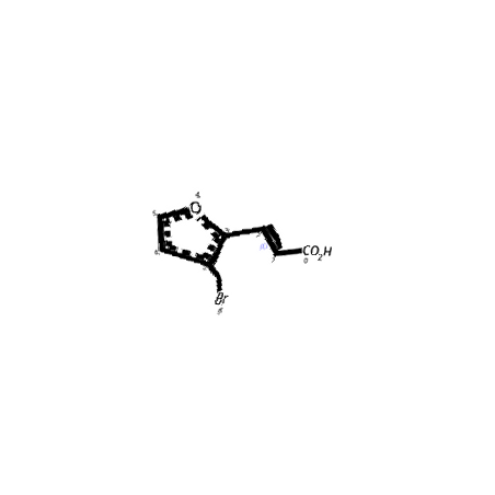 O=C(O)/C=C/c1occc1Br